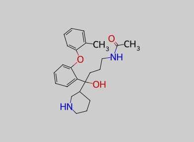 CC(=O)NCCCC(O)(c1ccccc1Oc1ccccc1C)C1CCCNC1